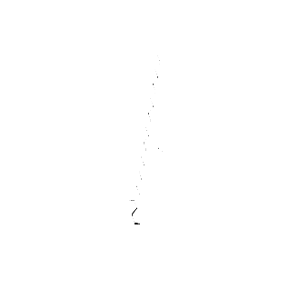 CCCCCCCCCCCCCCCCCCCCC(O)C=CC(=O)[O-].[Na+]